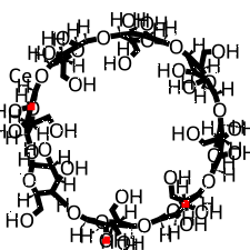 OC[C@H]1O[C@@H]2O[C@H]3[C@H](O)[C@@H](O)[C@@H](O[C@H]4[C@H](O)[C@@H](O)[C@@H](O[C@H]5[C@H](O)[C@@H](O)[C@@H](O[C@H]6[C@H](O)[C@@H](O)[C@@H](O[C@H]7[C@H](O)[C@@H](O)[C@@H](O[C@H]8[C@H](O)[C@@H](O)[C@@H](O[C@H]9[C@H](O)[C@@H](O)[C@@H](O[C@H]1[C@H](O)[C@H]2O)O[C@@H]9CO)O[C@@H]8CO)O[C@@H]7CO)O[C@@H]6CO)O[C@@H]5CO)O[C@@H]4CO)O[C@@H]3CO.[Ce]